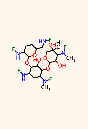 CN(F)C1CC(NF)C(OC2OC(CNF)CCC2NF)C(O)C1OC1OCC(C)(O)C(N(C)F)C1O